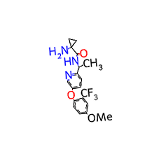 COc1ccc(Oc2ccc(C(C)NC(=O)C3(N)CC3)nc2)c(C(F)(F)F)c1